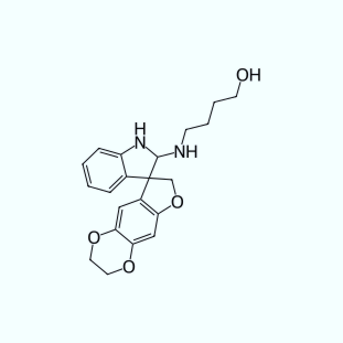 OCCCCNC1Nc2ccccc2C12COc1cc3c(cc12)OCCO3